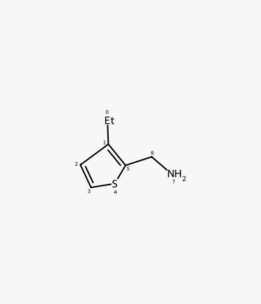 CCc1ccsc1CN